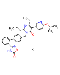 CCCc1nc(CC)c(-c2ccc(OC(C)C)nc2)c(=O)n1Cc1ccc(-c2ccccc2-c2noc(=O)[nH]2)cc1.[K]